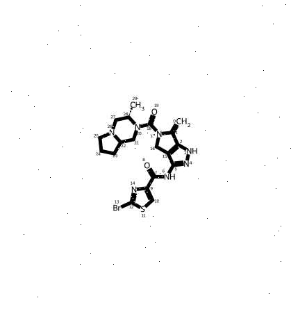 C=C1c2[nH]nc(NC(=O)c3csc(Br)n3)c2CN1C(=O)N1CC2CCCN2C[C@@H]1C